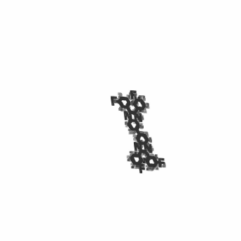 Fc1cccc(-c2nc3ccc(-c4ccc5nc(-c6cccc(F)c6)c(-c6cccc(F)c6)nc5c4)cc3nc2-c2cccc(F)c2)c1